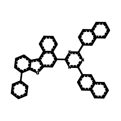 c1ccc(-c2cccc3c2oc2cc(-c4nc(-c5ccc6ccccc6c5)nc(-c5ccc6ccccc6c5)n4)c4ccccc4c23)cc1